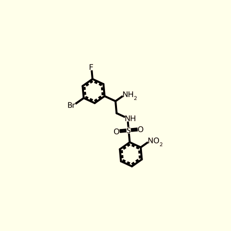 NC(CNS(=O)(=O)c1ccccc1[N+](=O)[O-])c1cc(F)cc(Br)c1